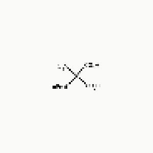 CCCCCC(C(=O)O)(C(=O)O)[N+](=O)[O-]